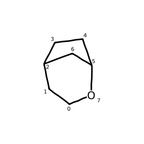 C1CC2CCC(C2)O1